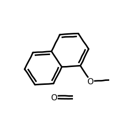 C=O.COc1cccc2ccccc12